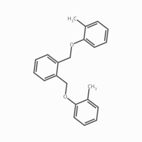 Cc1ccccc1OCc1ccccc1COc1ccccc1C